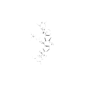 CC1CC(C)CN(S(=O)(=O)c2ccc3c(c2)c(=NCCCN(C)C)c2cc(S(=O)(=O)N4CC(C)CC(C)C4)ccc2n3C)C1